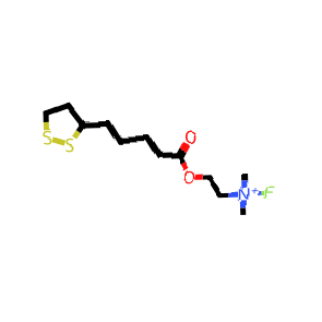 C[N+](C)(F)CCOC(=O)CCCCC1CCSS1